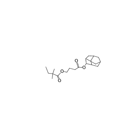 CCC(C)(C)C(=O)OCCCC(=O)OC1C2CC3CC(C2)CC1C3